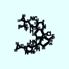 [2H]C(Nc1cc(Cl)c2ncc(C#N)c(NCC3(C(F)F)CC3)c2c1)(c1ccc(F)cc1)c1cn(C2CC2)nn1